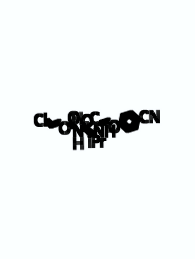 CC(COc1ccc(C#N)cc1)N[C@H](C(=O)NC(=O)OCCCl)C(C)C